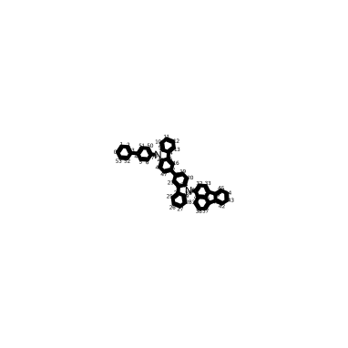 c1ccc(-c2ccc(-n3c4ccccc4c4cc(-c5ccc6c(c5)c5ccccc5n6-c5ccc6c7c(cccc57)-c5ccccc5-6)ccc43)cc2)cc1